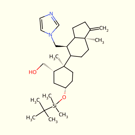 C=C1CCC2[C@H](Cn3ccnc3)C([C@@]3(C)CC[C@H](O[Si](C)(C)C(C)(C)C)C[C@@H]3CO)CC[C@]12C